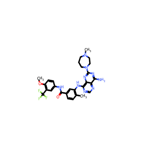 COc1ccc(NC(=O)c2ccc(C)c(Nc3ncnc4c(N)nc(N5CCCN(C)CC5)nc34)c2)cc1C(F)(F)F